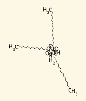 CCCCCCCCCCCCCCCC(=O)C(S)(C(=O)CCCCCCCCCCCCCCC)[C@](N)(C(=O)O)C(=O)CCCCCCCCCCCCCCC